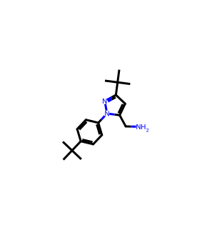 CC(C)(C)c1ccc(-n2nc(C(C)(C)C)cc2CN)cc1